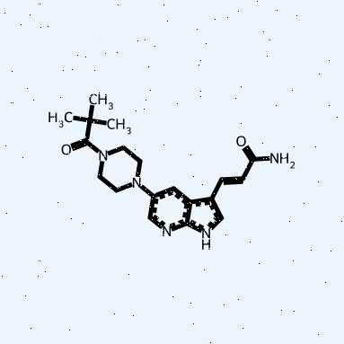 CC(C)(C)C(=O)N1CCN(c2cnc3[nH]cc(C=CC(N)=O)c3c2)CC1